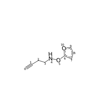 C#CCCNOc1ccco1